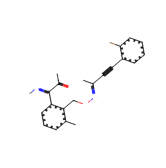 CNC(=O)/C(=N/OC)c1cccc(C)c1CO/N=C(\C)C#Cc1ccccc1Br